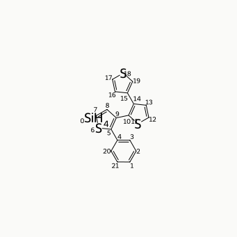 [SiH4].c1ccc(-c2sccc2-c2sccc2-c2ccsc2)cc1